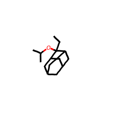 CCC1(OC(C)C)C2CC3CC(C2)CC1C3